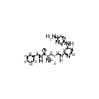 Nc1cnc(Nc2cc(NCCC[C@H](N)C(=O)NCc3ccccc3)ncn2)cn1